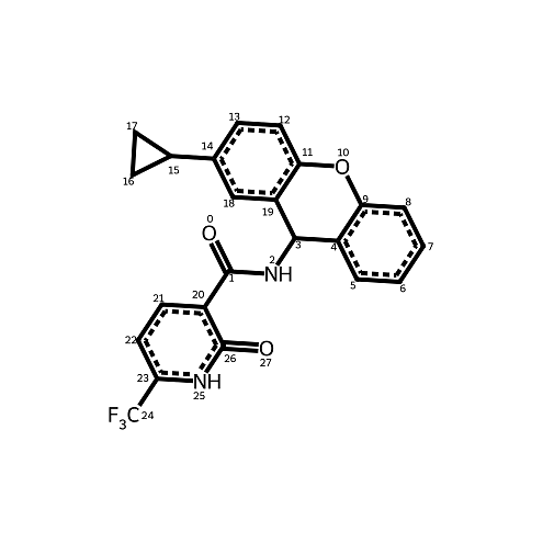 O=C(NC1c2ccccc2Oc2ccc(C3CC3)cc21)c1ccc(C(F)(F)F)[nH]c1=O